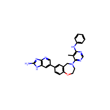 Cc1c(Nc2ccccc2)ncnc1N1CCOc2ccc(-c3cnc4nc(N)[nH]c4c3)cc2C1